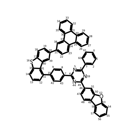 c1ccc(-c2nc(-c3ccc(-c4cccc5sc6ccc(-c7ccc8c9ccccc9c9ccccc9c8c7)cc6c45)cc3)nc(-c3ccc4c(c3)oc3ccccc34)n2)cc1